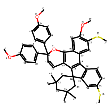 COc1ccc(C2(c3ccc(OC)cc3)C=Cc3c4c(c5cc(SC)c(OC)cc5c3O2)-c2ccc(SC)cc2C42CC(C)(C)CC(C)(C)C2)cc1